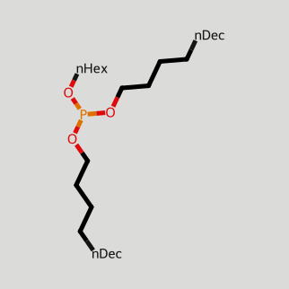 CCCCCCCCCCCCCCOP(OCCCCCC)OCCCCCCCCCCCCCC